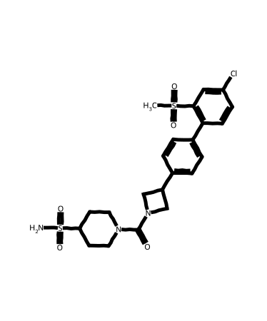 CS(=O)(=O)c1cc(Cl)ccc1-c1ccc(C2CN(C(=O)N3CCC(S(N)(=O)=O)CC3)C2)cc1